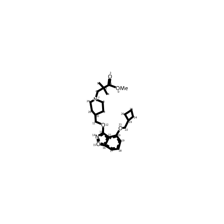 COC(=O)C(C)(C)CN1CCC(COc2noc3cccc(OCC4CCC4)c23)CC1